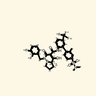 Cc1cc(S(=O)(=O)N(C)C)ccc1-c1cc(C(F)(F)F)ccc1NC(=O)C1=C(O)[C@@]2(C)CCCN2N(Cc2cccc(F)c2F)C1=O